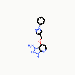 NN1NNc2nccc(OCc3cnn(-c4ccccc4)c3)c21